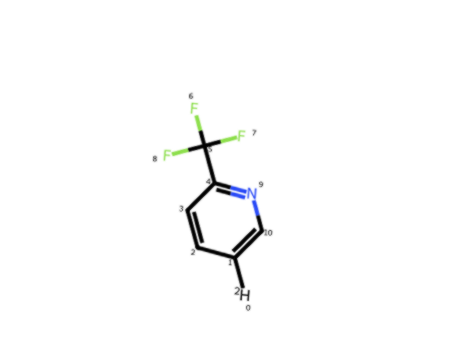 [2H]c1ccc(C(F)(F)F)nc1